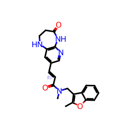 Cc1oc2ccccc2c1CN(C)C(=O)/C=C/c1cnc2c(c1)NCCC(=O)N2